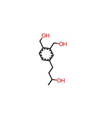 CC(O)CCc1ccc(CO)c(CO)c1